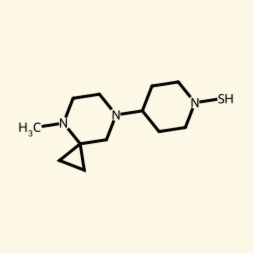 CN1CCN(C2CCN(S)CC2)CC12CC2